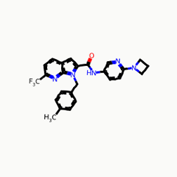 Cc1ccc(Cn2c(C(=O)Nc3ccc(N4CCC4)nc3)cc3ccc(C(F)(F)F)nc32)cc1